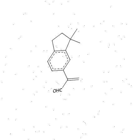 C=C(C=O)c1ccc2c(c1)C(C)(C)CC2